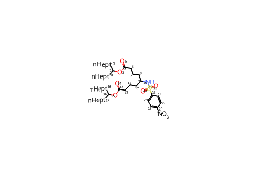 CCCCCCCC(CCCCCCC)OC(=O)CCCC(CCCC(=O)OC(CCCCCCC)CCCCCCC)NS(=O)(=O)c1ccc([N+](=O)[O-])cc1